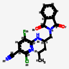 CCC[C@H](CN1C(=O)c2ccccc2C1=O)Nc1nc(Cl)c(C#N)cc1F